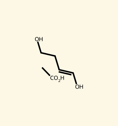 CC(=O)O.OC=CCCO